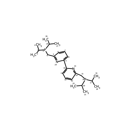 CC(C)P(Cc1cccc(-c2cccc(CP(C(C)C)C(C)C)n2)n1)C(C)C